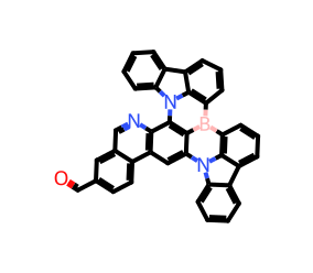 O=Cc1ccc2c(cnc3c4c5c(cc32)-n2c3ccccc3c3cccc(c32)B5c2cccc3c5ccccc5n-4c23)c1